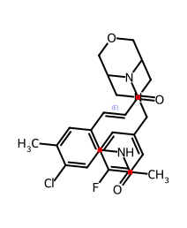 CC(=O)Nc1cc(Cl)c(C)cc1/C=C/C(=O)N1C2COCC1CN(Cc1ccc(F)cc1)C2